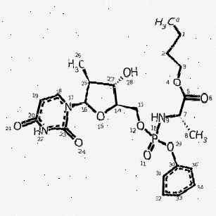 CCCCOC(=O)[C@H](C)NP(=O)(OC[C@H]1O[C@@H](n2ccc(=O)[nH]c2=O)[C@@H](C)[C@@H]1O)Oc1ccccc1